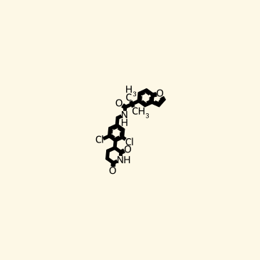 CC(C)(C(=O)NCc1cc(Cl)c(C2CCC(=O)NC2=O)c(Cl)c1)c1ccc2occc2c1